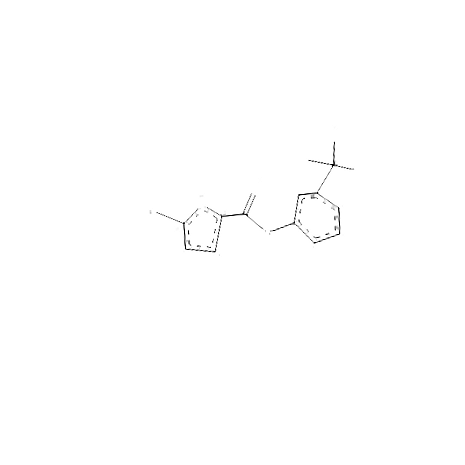 O=C(Nc1cccc(C(F)(F)F)c1)c1ccc(Br)s1